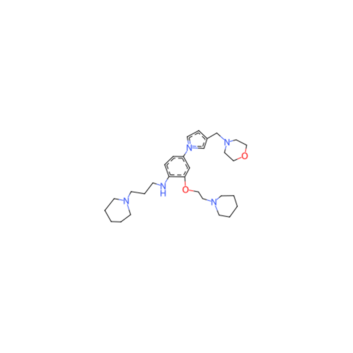 c1cn(-c2ccc(NCCCN3CCCCC3)c(OCCN3CCCCC3)c2)cc1CN1CCOCC1